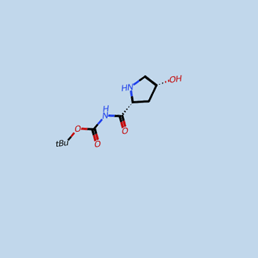 CC(C)(C)OC(=O)NC(=O)[C@H]1C[C@@H](O)CN1